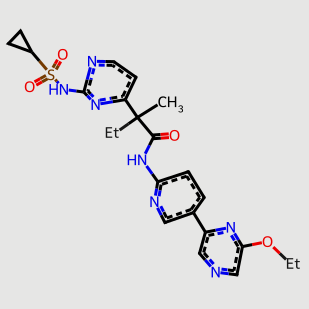 CCOc1cncc(-c2ccc(NC(=O)C(C)(CC)c3ccnc(NS(=O)(=O)C4CC4)n3)nc2)n1